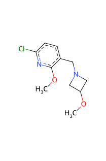 COc1nc(Cl)ccc1CN1CC(OC)C1